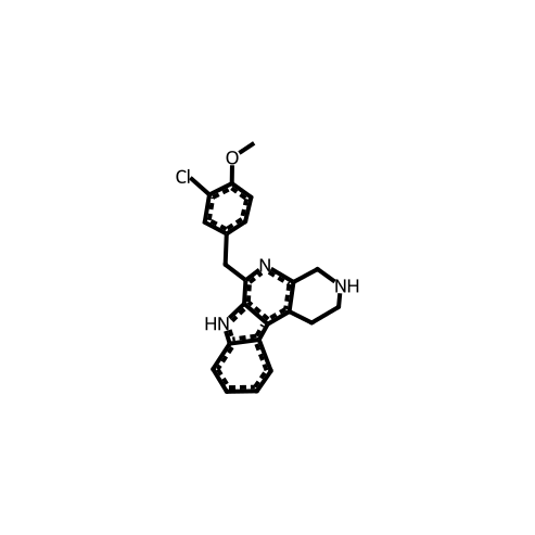 COc1ccc(Cc2nc3c(c4c2[nH]c2ccccc24)CCNC3)cc1Cl